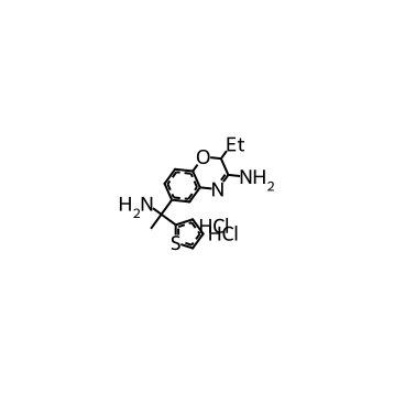 CCC1Oc2ccc(C(C)(N)c3cccs3)cc2N=C1N.Cl.Cl